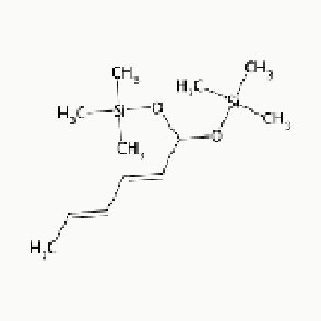 C/C=C/C=C/C(O[Si](C)(C)C)O[Si](C)(C)C